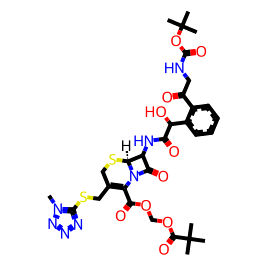 Cn1nnnc1SCC1=C(C(=O)OCOC(=O)C(C)(C)C)N2C(=O)C(NC(=O)C(O)c3ccccc3C(=O)CNC(=O)OC(C)(C)C)[C@@H]2SC1